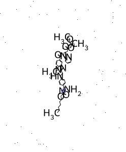 CCCCCCOC(=O)/N=C(\N)c1ccc(NCc2nc3cc(C(=O)N(CCC(=O)O[C@H](C)COC)c4ccccn4)ccc3n2C)cc1